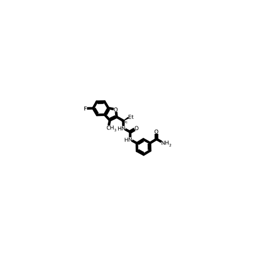 CC[C@@H](NC(=O)Nc1cccc(C(N)=O)c1)c1oc2ccc(F)cc2c1C